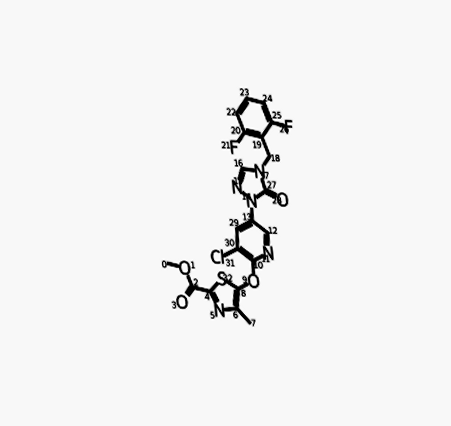 COC(=O)c1nc(C)c(Oc2ncc(-n3ncn(Cc4c(F)cccc4F)c3=O)cc2Cl)s1